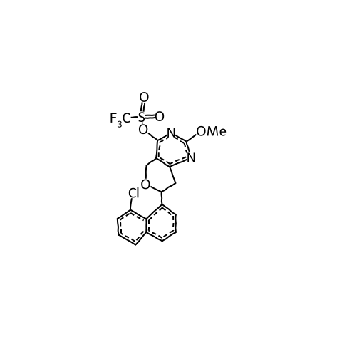 COc1nc2c(c(OS(=O)(=O)C(F)(F)F)n1)COC(c1cccc3cccc(Cl)c13)C2